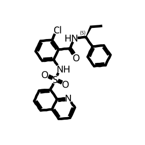 CC[C@H](NC(=O)c1c(Cl)cccc1NS(=O)(=O)c1cccc2cccnc12)c1ccccc1